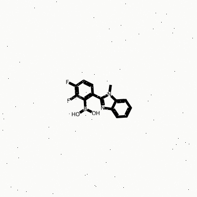 Cn1c(-c2ccc(F)c(F)c2B(O)O)nc2ccccc21